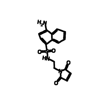 Nc1ccc(S(=O)(=O)NCCN2C(=O)C=CC2=O)c2ccccc12